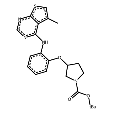 Cc1csc2ncnc(Nc3ccccc3OC3CCN(C(=O)OC(C)(C)C)C3)c12